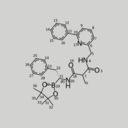 CC(C(=O)NCc1cccc(-c2ccccc2)n1)C(=O)N[C@@H](Cc1ccccc1)B1OC(C)(C)C(C)(C)O1